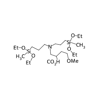 CCO[Si](C)(CCCN(CCC[Si](C)(OCC)OCC)CC(CCOC)C(=O)O)OCC